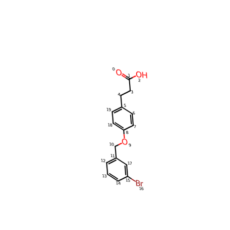 O=C(O)CCc1ccc(OCc2cccc(Br)c2)cc1